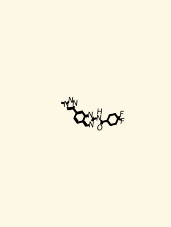 Cn1cc(-c2ccc3cnc(NC(=O)C4CCC(F)(F)CC4)nc3c2)nn1